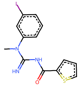 CN(C(=N)NC(=O)c1cccs1)c1cccc(I)c1